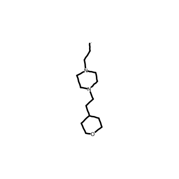 [CH2]CCN1CCN(CCC2CCOCC2)CC1